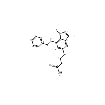 Cc1nn(C)c2c(NCc3ccccc3)nc(CCCC(=O)O)nc12